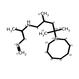 C=NCC(C)NCC(C)CC(C)(C)N1CCCCCCC1